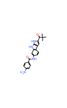 CC(C)(C)C(=O)c1cc2c([nH]1)[nH]c1cc(NC(=O)c3ccc(N)cc3)ccc12